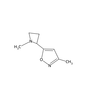 Cc1cc(C2CCN2C)on1